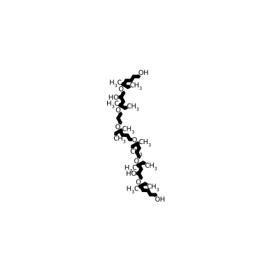 CCC(C)(CCCOC(C)(CC)CCCOC(C)(CC)CC(O)COC(C)(CC)CCCCO)OCCCOC(C)(CC)CC(O)COC(C)(CC)CCCCO